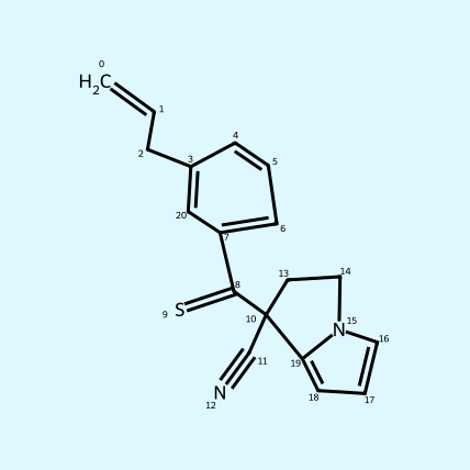 C=CCc1cccc(C(=S)C2(C#N)CCn3cccc32)c1